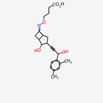 Cc1ccc(C(O)C#CC2CC3C(=NOCCCC(=O)O)CC3C2O)c(C)c1